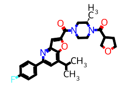 CC(C)c1cc(-c2ccc(F)cc2)nc2cc(C(=O)N3CCN(C(=O)C4CCOC4)[C@@H](C)C3)oc12